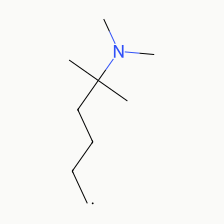 [CH2]CCCC(C)(C)N(C)C